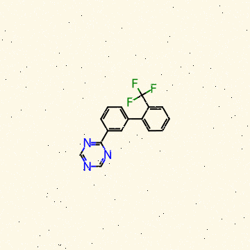 FC(F)(F)c1ccccc1-c1cccc(-c2ncncn2)c1